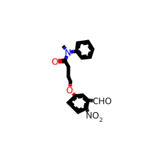 CN(C(=O)CCCOc1ccc([N+](=O)[O-])c(C=O)c1)c1ccccc1